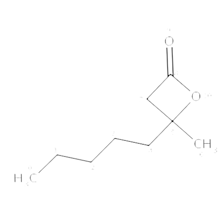 CCCCCC1(C)CC(=O)O1